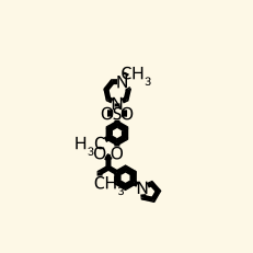 CCC(C(=O)Oc1ccc(S(=O)(=O)N2CCCN(C)CC2)cc1C)c1ccc(N2CCCC2)cc1